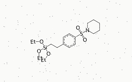 CCO[Si](CCc1ccc(S(=O)(=O)N2CCCCC2)cc1)(OCC)OCC